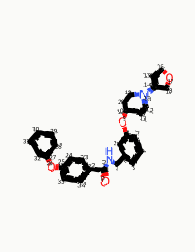 O=C(NCc1cccc(OC2CCN(C3CCOC3)CC2)c1)c1ccc(Oc2ccccc2)cc1